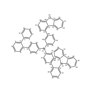 c1ccc(-c2ccccc2-c2ccc(N(c3ccc(-c4ccccc4-n4c5ccccc5c5ccccc54)cc3)c3cccc(-c4cccc5oc6ccccc6c45)c3)cc2)cc1